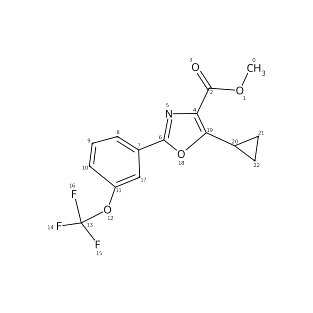 COC(=O)c1nc(-c2cccc(OC(F)(F)F)c2)oc1C1CC1